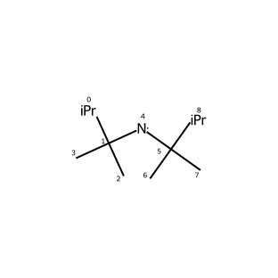 CC(C)C(C)(C)[N]C(C)(C)C(C)C